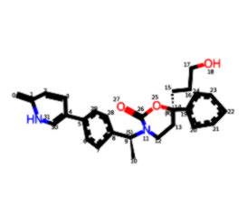 C=C1C=CC(c2ccc([C@H](C)N3CC[C@](CCCO)(c4ccccc4)OC3=O)cc2)=CN1